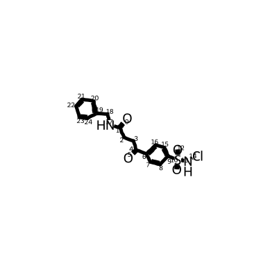 O=C(CCC(=O)c1ccc(S(=O)(=O)NCl)cc1)NCc1ccccc1